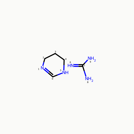 C1=NCCCN1.N=C(N)N